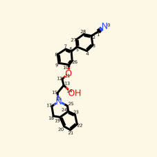 N#Cc1ccc(-c2cccc(OCC(O)CN3CCc4ccccc4C3)c2)cc1